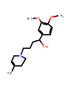 COc1ccc(C(O)CCCN2CC=C(C)CC2)cc1OC